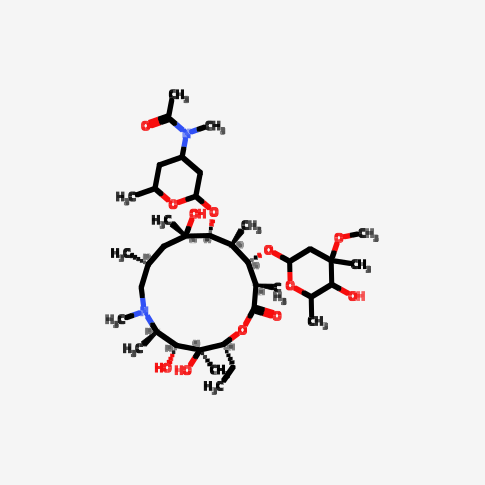 CC[C@H]1OC(=O)[C@H](C)[C@@H](OC2CC(C)(OC)C(O)C(C)O2)[C@H](C)[C@@H](OC2CC(N(C)C(C)=O)CC(C)O2)[C@@](C)(O)C[C@@H](C)CN(C)[C@H](C)[C@@H](O)[C@]1(C)O